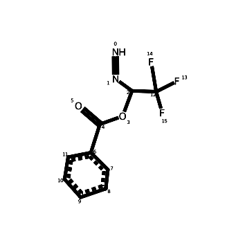 N=NC(OC(=O)c1ccccc1)C(F)(F)F